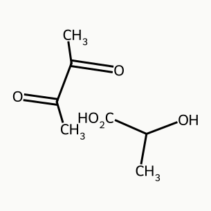 CC(=O)C(C)=O.CC(O)C(=O)O